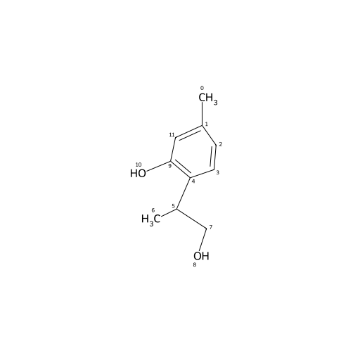 Cc1ccc(C(C)CO)c(O)c1